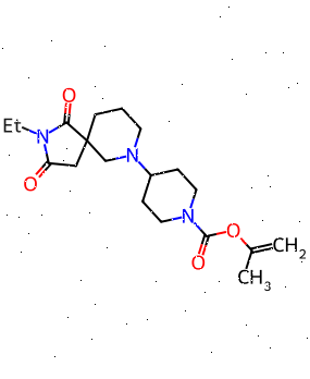 C=C(C)OC(=O)N1CCC(N2CCCC3(CC(=O)N(CC)C3=O)C2)CC1